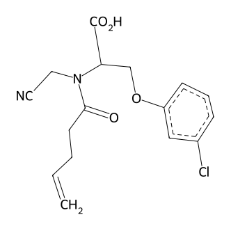 C=CCCC(=O)N(CC#N)C(COc1cccc(Cl)c1)C(=O)O